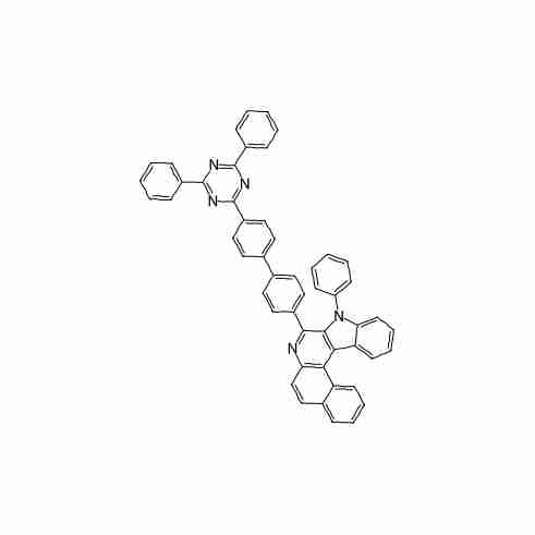 c1ccc(-c2nc(-c3ccccc3)nc(-c3ccc(-c4ccc(-c5nc6ccc7ccccc7c6c6c7ccccc7n(-c7ccccc7)c56)cc4)cc3)n2)cc1